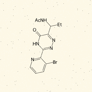 CCC(NC(C)=O)c1nnc(-c2ncccc2Br)[nH]c1=O